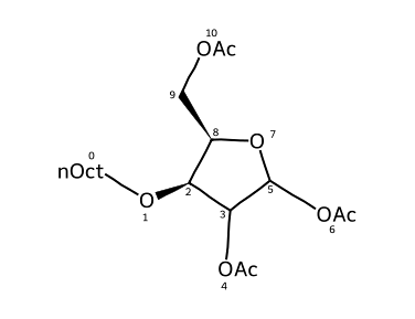 CCCCCCCCO[C@@H]1C(OC(C)=O)C(OC(C)=O)O[C@@H]1COC(C)=O